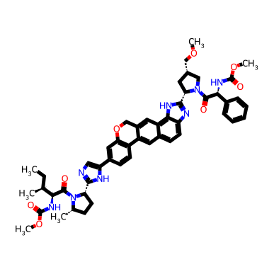 CC[C@H](C)[C@H](NC(=O)OC)C(=O)N1[C@@H](C)CC[C@H]1c1ncc(-c2ccc3c(c2)OCc2cc4c(ccc5nc([C@@H]6C[C@H](COC)CN6C(=O)[C@H](NC(=O)OC)c6ccccc6)[nH]c54)cc2-3)[nH]1